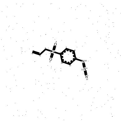 C=CCS(=O)(=O)c1ccc(N=[N+]=[N-])cc1